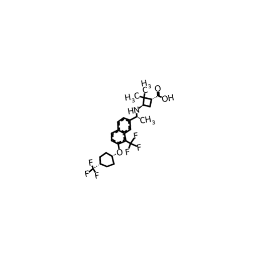 C[C@@H](N[C@@H]1C[C@@H](C(=O)O)C1(C)C)c1ccc2ccc(O[C@H]3CC[C@@H](C(F)(F)F)CC3)c(C(F)(F)F)c2c1